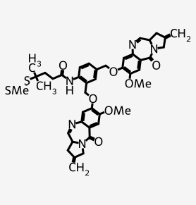 C=C1CC2C=Nc3cc(OCc4ccc(NC(=O)CCC(C)(C)SSC)c(COc5cc6c(cc5OC)C(=O)N5CC(=C)CC5C=N6)c4)c(OC)cc3C(=O)N2C1